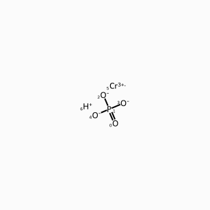 O=P([O-])([O-])[O-].[Cr+3].[H+]